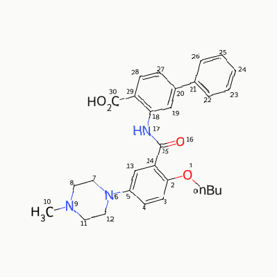 CCCCOc1ccc(N2CCN(C)CC2)cc1C(=O)Nc1cc(-c2ccccc2)ccc1C(=O)O